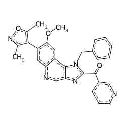 COc1cc2c(cc1-c1c(C)noc1C)ncc1nc(C(=O)c3cccnc3)n(Cc3ccccc3)c12